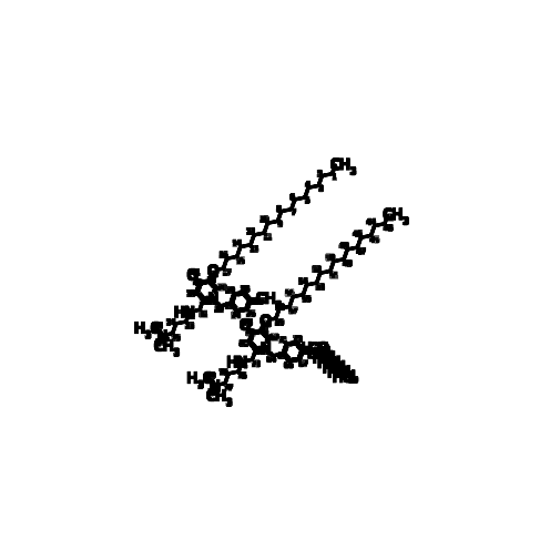 CCCCCCCCCCCCCCCCCCOc1cn(Cc2ccc(C)cc2)c(CNCCCN(C)C)cc1=O.CCCCCCCCCCCCCCCCCCOc1cn(Cc2ccc(C)cc2)c(CNCCCN(C)C)cc1=O.Cl.Cl.Cl.Cl.Cl.Cl.O